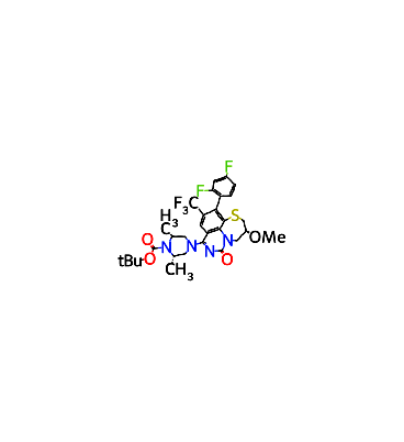 CO[C@@H]1CSc2c(-c3ccc(F)cc3F)c(C(F)(F)F)cc3c(N4C[C@@H](C)N(C(=O)OC(C)(C)C)[C@@H](C)C4)nc(=O)n(c23)C1